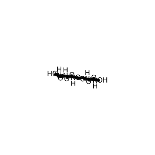 C#CCNC(=O)CCNC(=O)CCC(=O)NCCOCCOCCNC(=O)CCC(=O)NCCO